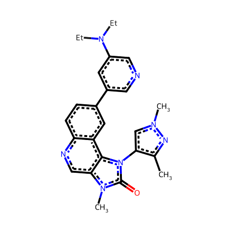 CCN(CC)c1cncc(-c2ccc3ncc4c(c3c2)n(-c2cn(C)nc2C)c(=O)n4C)c1